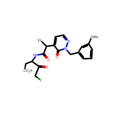 CCC(C(=O)NC(CC(=O)O)C(=O)CF)c1ccnn(Cc2cccc(OC)c2)c1=O